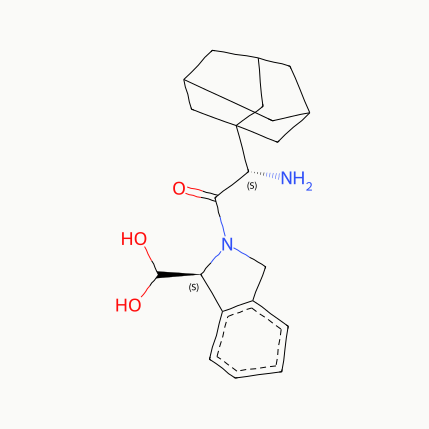 N[C@H](C(=O)N1Cc2ccccc2[C@H]1C(O)O)C12CC3CC(CC(C3)C1)C2